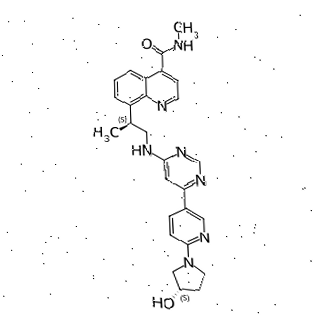 CNC(=O)c1ccnc2c([C@H](C)CNc3cc(-c4ccc(N5CC[C@H](O)C5)nc4)ncn3)cccc12